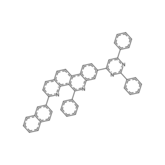 c1ccc(-c2cc(-c3ccc4c(c3)nc(-c3ccccc3)c3c4ccc4ccc(-c5ccc6ccccc6c5)nc43)nc(-c3ccccc3)n2)cc1